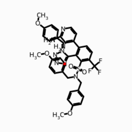 COc1ccc(CN(Cc2ccc(OC)cc2)S(=O)(=O)c2c(C(F)(F)F)ccc(-c3ccnc(N)c3N)c2-c2nnnn2Cc2ccc(OC)cc2)cc1